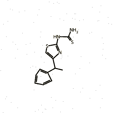 CC(c1ccccc1)c1csc(NC(N)=S)n1